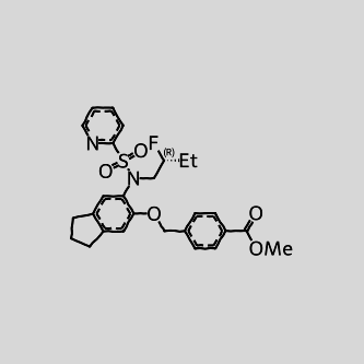 CC[C@@H](F)CN(c1cc2c(cc1OCc1ccc(C(=O)OC)cc1)CCC2)S(=O)(=O)c1ccccn1